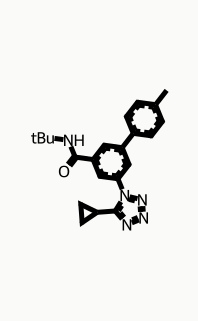 Cc1ccc(-c2cc(C(=O)NC(C)(C)C)cc(-n3nnnc3C3CC3)c2)cc1